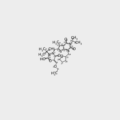 CCOC=CC(=O)N(Cc1sc2c(c1C)c(=O)n(C(C)C)c(=O)n2CC1CCCO1)N(C(=O)O)C(C)(C)C